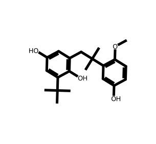 COc1ccc(O)cc1C(C)(C)Cc1cc(O)cc(C(C)(C)C)c1O